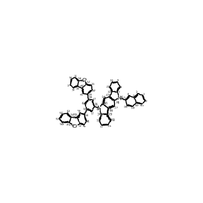 c1ccc2cc(-n3c4ccccc4c4cc5c(cc43)c3ccccc3n5-c3cc(-c4ccc5oc6ccccc6c5c4)cc(-c4ccc5oc6ccccc6c5c4)c3)ccc2c1